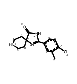 Cc1cc(C2=NC3(CCNCC3)C(=O)N2)ccc1Cl